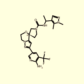 Cc1c(C(C)NC(=O)N2CC[C@]3(C2)OCCn2nc(-c4cnc(N)c(C(F)(F)F)c4)cc23)cnn1C